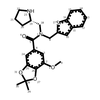 COc1cc(C(=O)N(Cc2cc3ccccc3s2)C[C@@H]2CCCN2)cc2c1OC(C)(C)O2